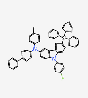 Cc1ccc(N(c2ccc(-c3ccccc3)cc2)c2ccc3c(c2)c2cc([Si](c4ccccc4)(c4ccccc4)c4ccccc4)ccc2n3-c2ccc(F)cc2)cc1